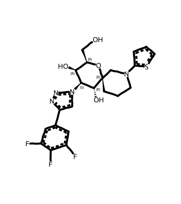 OC[C@H]1O[C@@]2(CCCN(c3cccs3)C2)[C@H](O)[C@@H](n2cc(-c3cc(F)c(F)c(F)c3)nn2)[C@H]1O